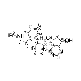 CC(C)NC[C@@H](CN1CCN(c2ncnc3c2[C@H](C)C[C@H]3O)CC1)c1ccc(Cl)cc1